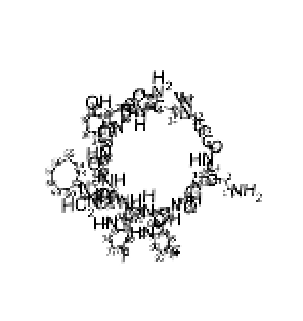 NCCCC[C@@H]1NC(=O)CCCCn2cc(nn2)C[C@@H](C(N)=O)NC(=O)[C@@H]2CCCN2C(=O)[C@H](Cc2ccc(O)cc2)NC(=O)[C@H](CC2CNCN2C2CCCCCCCC2)NC(=O)[C@H](CC(=O)O)NC(=O)[C@H](Cc2c[nH]c3ccc(F)cc23)NC(=O)[C@H](Cc2c[nH]c3ccc(F)cc23)NC(=O)CNC1=O